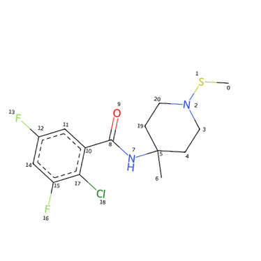 CSN1CCC(C)(NC(=O)c2cc(F)cc(F)c2Cl)CC1